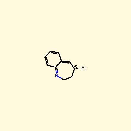 CC[C@H]1C=c2ccccc2=NCC1